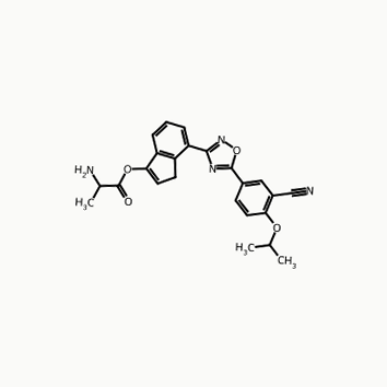 CC(C)Oc1ccc(-c2nc(-c3cccc4c3CC=C4OC(=O)C(C)N)no2)cc1C#N